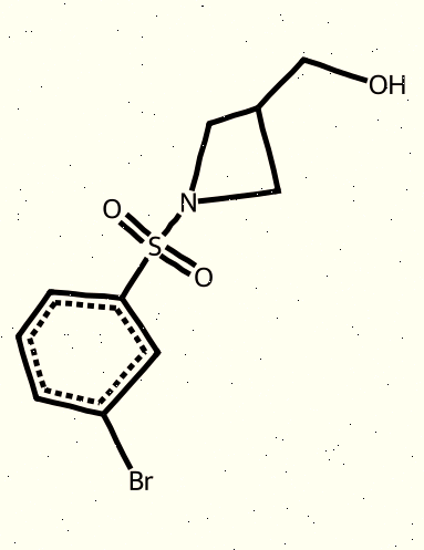 O=S(=O)(c1cccc(Br)c1)N1CC(CO)C1